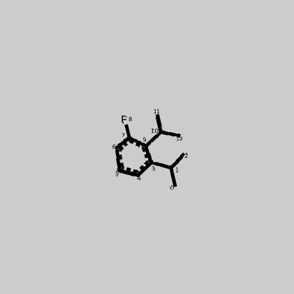 CC(C)c1cccc(F)c1C(C)C